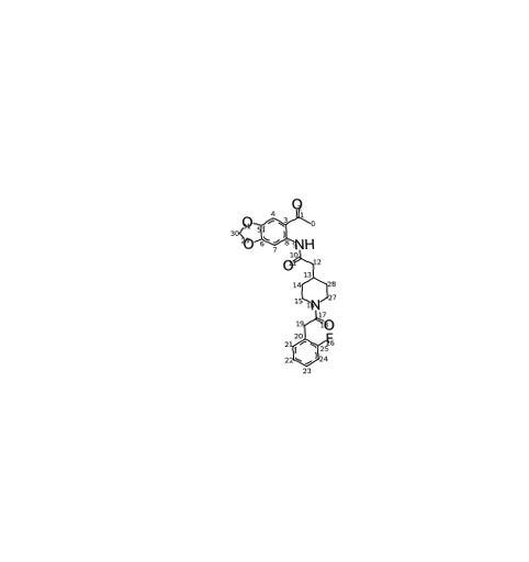 CC(=O)c1cc2c(cc1NC(=O)CC1CCN(C(=O)Cc3ccccc3F)CC1)OCO2